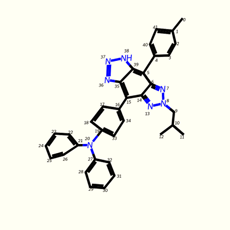 Cc1ccc(-c2c3nn(CC(C)C)nc3c(-c3ccc(N(c4ccccc4)c4ccccc4)cc3)c3nn[nH]c23)cc1